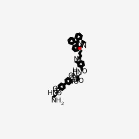 NCCNS(=O)(=O)c1ccc(-c2ccc(S(=O)(=O)N[C@@H](CNC(=O)c3ccc4c(cnn4CCCNc4nccn4C(c4ccccc4)(c4ccccc4)c4ccccc4)c3)C(=O)O)cc2)cc1